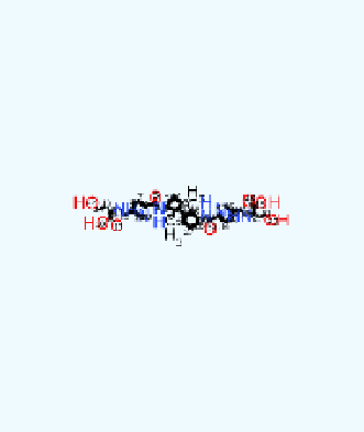 Cc1c(NC(=O)c2ccc(CN[C@@H](CCO)C(=O)O)cn2)cccc1-c1cccc(NC(=O)c2ccc(CN[C@@H](CCO)C(=O)O)cn2)c1C